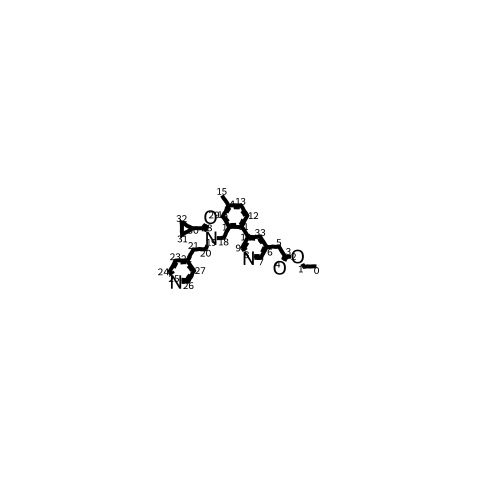 CCOC(=O)Cc1cncc(-c2ccc(C)cc2CN(CCc2ccncc2)C(=O)C2CC2)c1